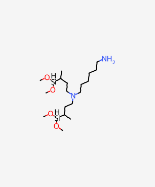 CO[SiH](OC)C(C)CCN(CCCCCCN)CCC(C)[SiH](OC)OC